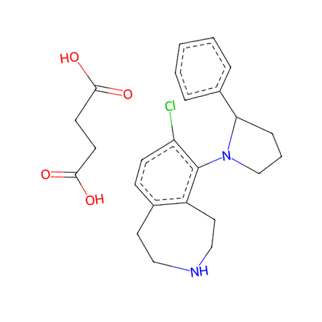 Clc1ccc2c(c1N1CCCC1c1ccccc1)CCNCC2.O=C(O)CCC(=O)O